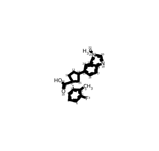 Cc1c(F)cccc1[C@]1(C(=O)O)CCC(c2ccc3ncn(C)c3c2)C1